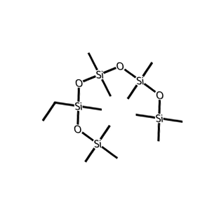 CC[Si](C)(O[Si](C)(C)C)O[Si](C)(C)O[Si](C)(C)O[Si](C)(C)C